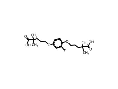 CC(C)(CCCOc1ccc(OCCCC(C)(C)C(=O)O)c(F)c1)C(=O)O